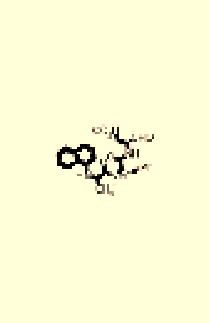 CC(C)C[C@H](NC(=O)C(C)Nc1cccc2ccccc12)C(=O)N[C@H](C=O)CC(=O)O